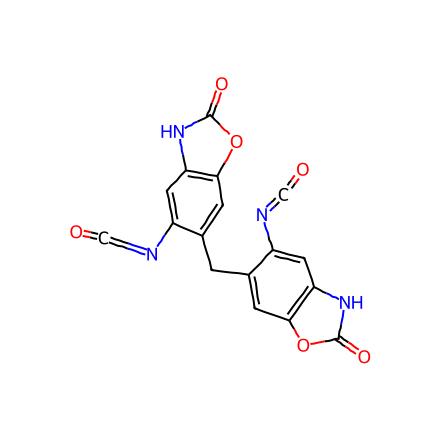 O=C=Nc1cc2[nH]c(=O)oc2cc1Cc1cc2oc(=O)[nH]c2cc1N=C=O